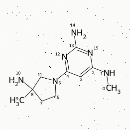 CNc1cc(N2CCC(C)(N)C2)nc(N)n1